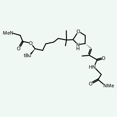 CNCC(=O)O[C@@H](CCCCC(C)(C)C1N[C@@H](/C=C(\C)C(=O)NCC(=O)NC)CO1)C(C)(C)C